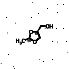 C[C@@H]1OC[C@H](CO)O1